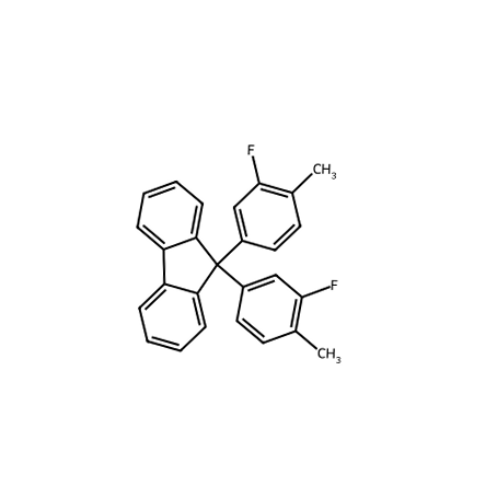 Cc1ccc(C2(c3ccc(C)c(F)c3)c3ccccc3-c3ccccc32)cc1F